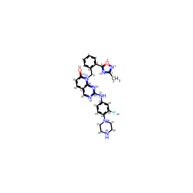 Cc1noc(-c2ccccc2Cn2c(=O)ccc3cnc(Nc4ccc(N5CCNCC5)c(F)c4)nc32)n1